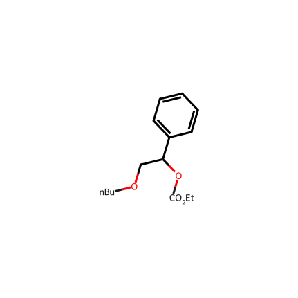 CCCCOCC(OC(=O)OCC)c1ccccc1